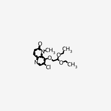 CCOC(COc1c(Cl)cnc2ccc(=O)n(C)c12)OCC